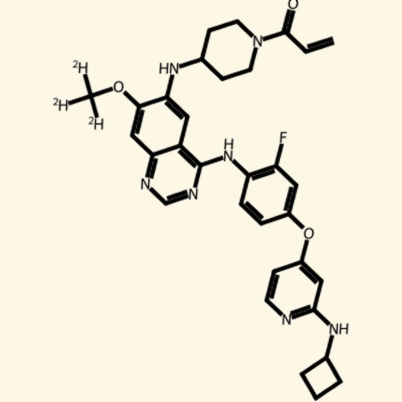 [2H]C([2H])([2H])Oc1cc2ncnc(Nc3ccc(Oc4ccnc(NC5CCC5)c4)cc3F)c2cc1NC1CCN(C(=O)C=C)CC1